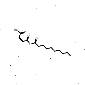 CCCCCCCCCC(=O)OC(=O)/C=C\C(=O)O